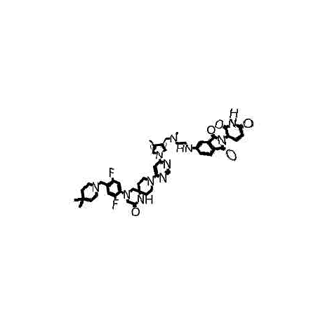 C[C@@H]1CN(c2cc(N3CCC4(CC3)CN(c3cc(F)c(CN5CCC(C)(C)CC5)cc3F)CC(=O)N4)ncn2)C[C@@H]1CN(C)CCNc1ccc2c(c1)C(=O)N(C1CCC(=O)NC1=O)C2=O